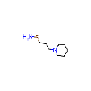 NSCCCN1CCCCC1